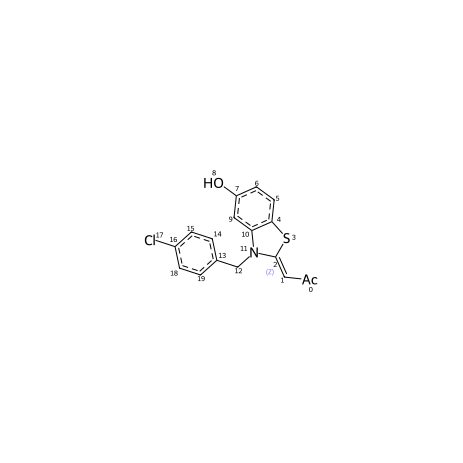 CC(=O)/C=C1\Sc2ccc(O)cc2N1Cc1ccc(Cl)cc1